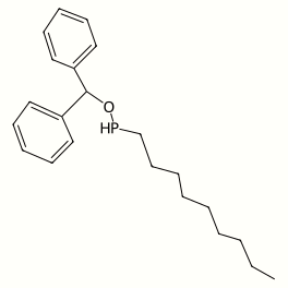 CCCCCCCCCPOC(c1ccccc1)c1ccccc1